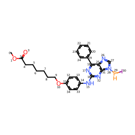 COC(=O)CCCCCCOc1ccc(Nc2nc(-c3ccccc3)c3ncn(PI)c3n2)cc1